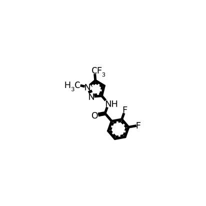 Cn1nc(NC(=O)c2cccc(F)c2F)cc1C(F)(F)F